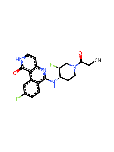 N#CCC(=O)N1CC[C@H](Nc2nc3cc[nH]c(=O)c3c3cc(F)ccc23)[C@@H](F)C1